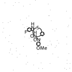 COc1ccc(N(C)C(=O)[C@@H]2Cc3cccc(c3)CCSCc3[nH]c4ccc(F)cc4c3CC(=O)N2)cc1